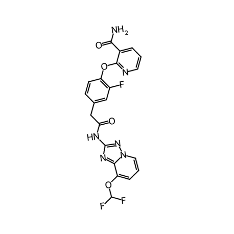 NC(=O)c1cccnc1Oc1ccc(CC(=O)Nc2nc3c(OC(F)F)cccn3n2)cc1F